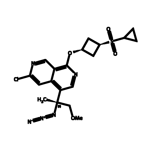 COC[C@@](C)(N=[N+]=[N-])c1cnc(O[C@H]2C[C@@H](S(=O)(=O)C3CC3)C2)c2cnc(Cl)cc12